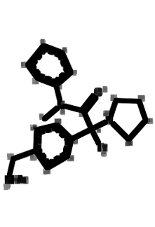 CCC(C(=O)N(C)c1ccccc1)(c1ccc(CNC(C)=O)cc1)N1CCCC1